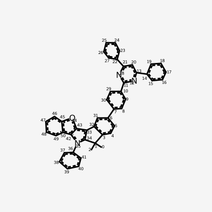 CC1(C)c2ccc(-c3ccc(-c4nc(-c5ccccc5)cc(-c5ccccc5)n4)cc3)cc2-c2c1n(-c1ccccc1)c1c2oc2ccccc21